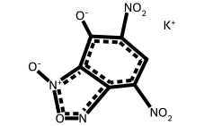 O=[N+]([O-])c1cc([N+](=O)[O-])c2no[n+]([O-])c2c1[O-].[K+]